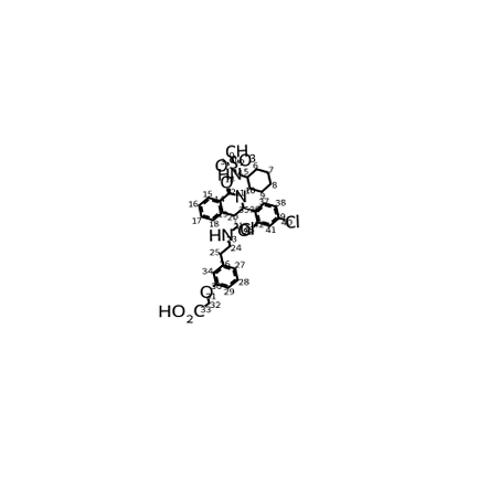 CS(=O)(=O)NC1CCCC[C@@H]1N1C(=O)c2ccccc2[C@@H](C(=O)NCCc2cccc(OCC(=O)O)c2)[C@@H]1c1ccc(Cl)cc1Cl